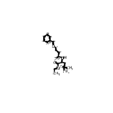 CCOC(=O)C(CC(C)(C)C)NC(=O)CCCOCc1ccccc1